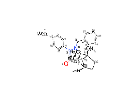 COc1ccc(-n2c(=O)c3c(n2Cc2ccccc2)[C@]2(C)CC[C@H]3C2(C)C)cc1